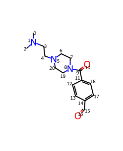 CN(C)CCN1CCN(C(=O)c2ccc(C=O)cc2)CC1